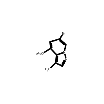 COc1cc(Br)cn2ncc(C(F)(F)F)c12